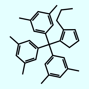 CCCC1=C(C(c2cc(C)cc(C)c2)(c2cc(C)cc(C)c2)c2cc(C)cc(C)c2)CC=C1